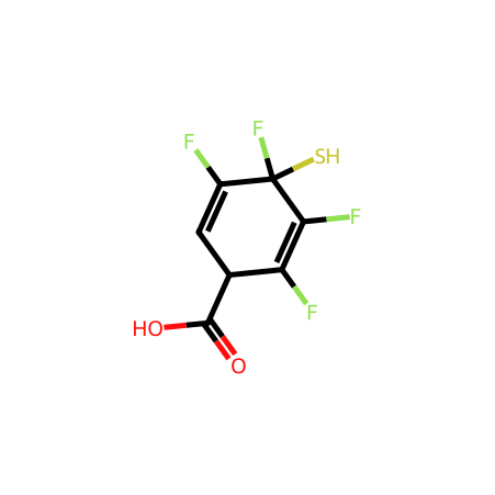 O=C(O)C1C=C(F)C(F)(S)C(F)=C1F